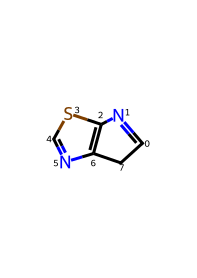 C1=Nc2scnc2C1